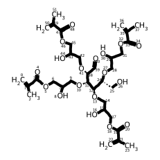 C=C(C)C(=O)OCC(O)CO[C@@H]([C@H](OCC(O)COC(=O)C(=C)C)[C@@H](CO)OCC(O)COC(=O)C(=C)C)[C@@H](C=O)OCC(O)COC(=O)C(=C)C